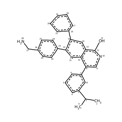 CC(C)c1cccc(-c2cnc(O)c3cc(-c4ccccc4)c(-c4ccc(CN)cc4)nc23)c1